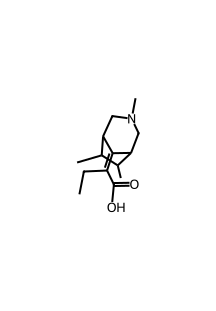 CCC(C(=O)O)=C1C2CN(C)CC1C(C)C2C